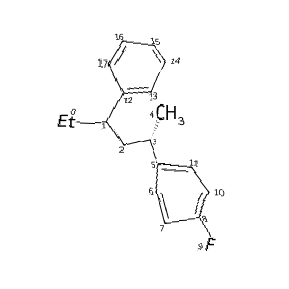 CCC(C[C@H](C)c1ccc(F)cc1)c1ccccc1